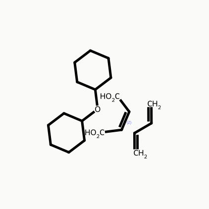 C1CCC(OC2CCCCC2)CC1.C=CC=C.O=C(O)/C=C\C(=O)O